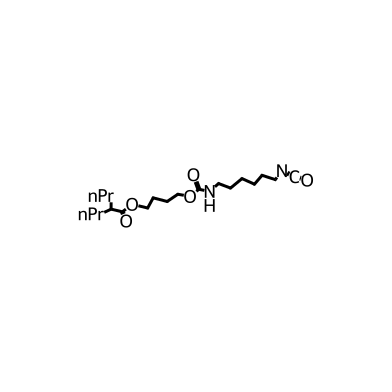 CCCC(CCC)C(=O)OCCCCOC(=O)NCCCCCCN=C=O